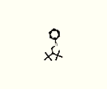 CC(C)(C)C(COc1cc[c]cc1)C(C)(C)C